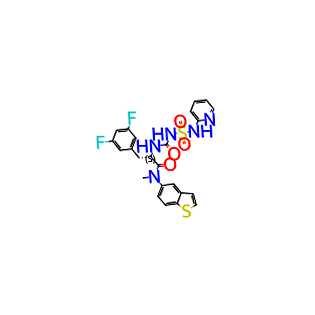 CN(C(=O)[C@H](Cc1cc(F)cc(F)c1)NC(=O)NS(=O)(=O)Nc1ccccn1)c1ccc2sccc2c1